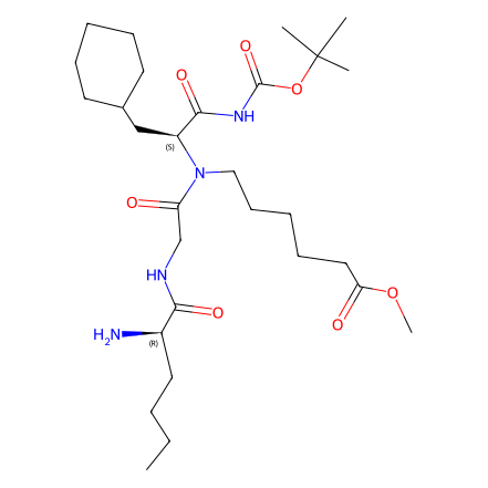 CCCC[C@@H](N)C(=O)NCC(=O)N(CCCCCC(=O)OC)[C@@H](CC1CCCCC1)C(=O)NC(=O)OC(C)(C)C